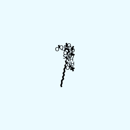 CCCCCCCCCCCC[C@@H](CNC(=S)N[C@@H]1O[C@H](COC(C)=O)[C@@H](OC(C)=O)[C@H](OC(C)=O)[C@H]1OC(C)=O)NC(=O)OC(C)(C)C